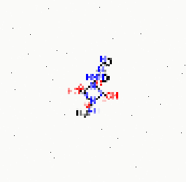 CNC(=O)CN1CCN(CC(=O)O)CCN(CC(=O)NCCN(Cc2ccccn2)Cc2ccccn2)CCN(CC(=O)O)CC1